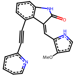 COc1cc[nH]c1/C=C1\C(=O)Nc2cccc(C#Cc3ccccn3)c21